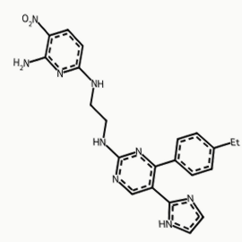 CCc1ccc(-c2nc(NCCNc3ccc([N+](=O)[O-])c(N)n3)ncc2-c2ncc[nH]2)cc1